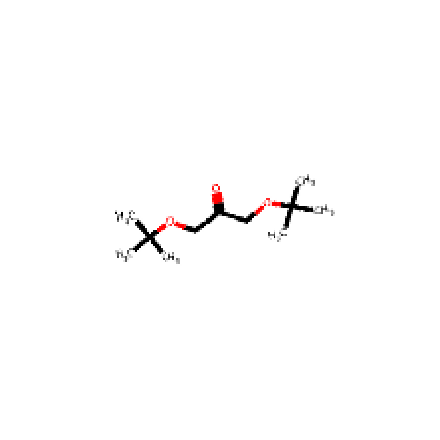 CC(C)(C)OCC(=O)COC(C)(C)C